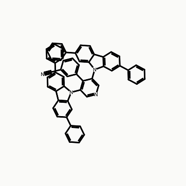 N#Cc1cccc(-c2c(-n3c4cc(-c5ccccc5)ccc4c4ccc(-c5ccccc5)cc43)cncc2-n2c3cc(-c4ccccc4)ccc3c3ccc(-c4ccccc4)cc32)c1